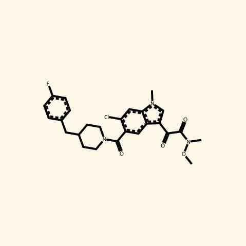 CON(C)C(=O)C(=O)c1cn(C)c2cc(Cl)c(C(=O)N3CCC(Cc4ccc(F)cc4)CC3)cc12